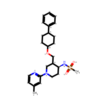 Cc1ccnc(N2CC[C@H](NS(C)(=O)=O)C(COC3CCC(c4ccccc4)CC3)C2)c1